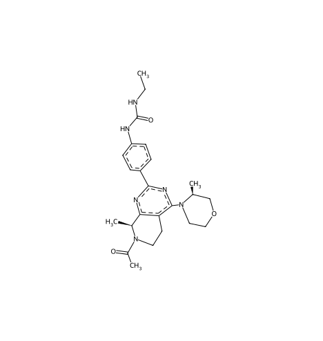 CCNC(=O)Nc1ccc(-c2nc3c(c(N4CCOC[C@@H]4C)n2)CCN(C(C)=O)[C@H]3C)cc1